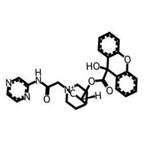 O=C(C[N+]12CCC(CC1)[C@@H](OC(=O)C1(O)c3ccccc3Oc3ccccc31)C2)Nc1cnccn1